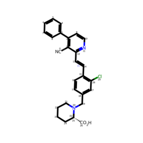 N#Cc1c(-c2ccccc2)ccnc1/C=C/c1ccc(CN2CCCC[C@H]2C(=O)O)cc1Cl